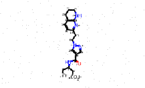 CC(C)CC(CC(=O)O)NC(=O)c1cnn(CCc2ccc3c(n2)NCCC3)c1